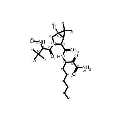 CCCCCCC(NC(=O)C1C2[C@H](CN1C(=O)C(NCl)C(C)(C)C)C2(C)C)C(=O)C(N)=O